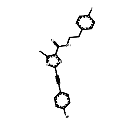 Cc1nc(C#Cc2ccc(O)cc2)sc1C(=O)NCCc1ccc(F)cc1